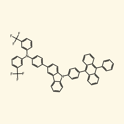 FC(F)(F)c1cccc(N(c2ccc(-c3ccc4c(c3)c3ccccc3n4-c3ccc(-c4c5ccccc5c(-c5ccccc5)c5ccccc45)cc3)cc2)c2cccc(C(F)(F)F)c2)c1